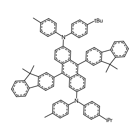 Cc1ccc(N(c2ccc(C(C)C)cc2)c2ccc3c(-c4ccc5c(c4)C(C)(C)c4ccccc4-5)c4cc(N(c5ccc(C)cc5)c5ccc(C(C)(C)C)cc5)ccc4c(-c4ccc5c(c4)C(C)(C)c4ccccc4-5)c3c2)cc1